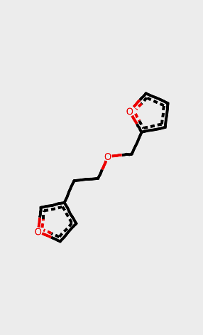 c1coc(COCCc2ccoc2)c1